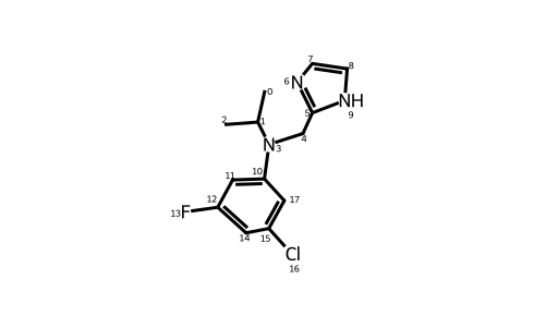 CC(C)N(Cc1ncc[nH]1)c1cc(F)cc(Cl)c1